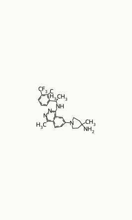 Cc1c([C@@H](C)Nc2nnc(C)c3ccc(N4CCC(C)(N)CC4)cc23)cccc1C(F)(F)F